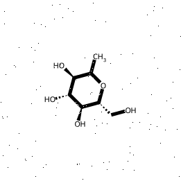 CC1O[C@H](CO)[C@@H](O)[C@H](O)[C@H]1O